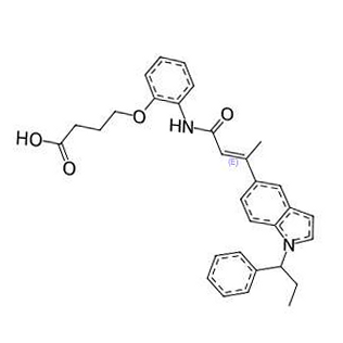 CCC(c1ccccc1)n1ccc2cc(/C(C)=C/C(=O)Nc3ccccc3OCCCC(=O)O)ccc21